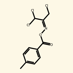 Cc1ccc(C(=O)ON=C(CCl)C(Cl)Cl)cc1